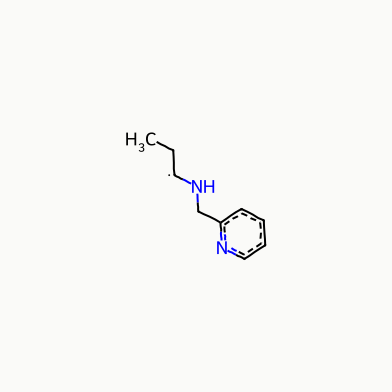 CC[CH]NCc1ccccn1